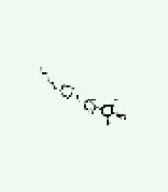 CCCCCC[C@H]1CC[C@H](CC[C@H]2CO[C@H](c3cc(F)c(C#N)c(F)c3)OC2)CC1